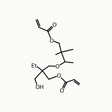 C=CC(=O)OCC(CC)(CO)COC(C)C(C)(C)COC(=O)C=C